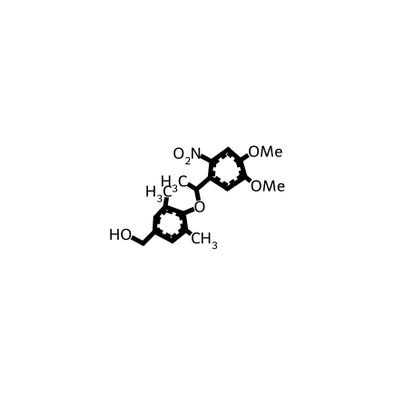 COc1cc(C(C)Oc2c(C)cc(CO)cc2C)c([N+](=O)[O-])cc1OC